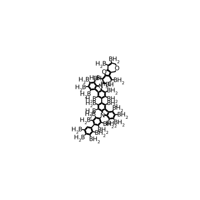 B=C(/C(B)=c1/oc2c(/c1=C(\B)C)COCC(B)=C2B)n1c2c(B)c(B)c(B)c(B)c2c2c(B)c(-c3c(B)c(B)c4c(c3B)c3c(B)c(B)c(B)c(B)c3n4-c3c(B)c(B)c(-c4cc(B)c(B)c(B)c4B)c(B)c3B)c(B)c(B)c21